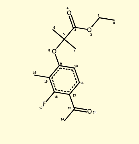 CCOC(=O)C(C)(C)Oc1ccc(C(C)=O)c(F)c1C